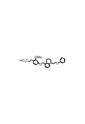 COc1cc(OCc2cccc3c2CCCN3CCOc2ccccc2)ccc1CCC(=O)O